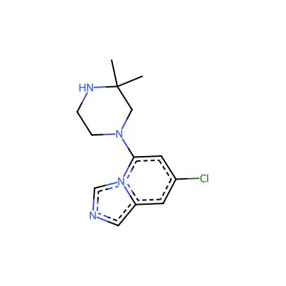 CC1(C)CN(c2cc(Cl)cc3cncn23)CCN1